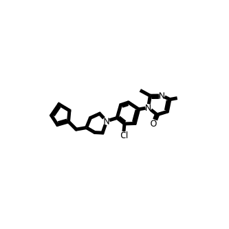 Cc1cc(=O)n(-c2ccc(N3CCC(CC4=CC=CC4)CC3)c(Cl)c2)c(C)n1